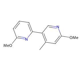 COc1cc(C)c(-c2cccc(OC)n2)cn1